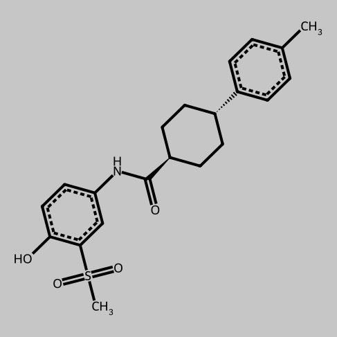 Cc1ccc([C@H]2CC[C@H](C(=O)Nc3ccc(O)c(S(C)(=O)=O)c3)CC2)cc1